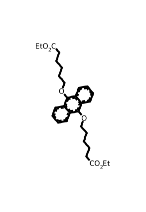 CCOC(=O)CCCCCOc1c2ccccc2c(OCCCCCC(=O)OCC)c2ccccc12